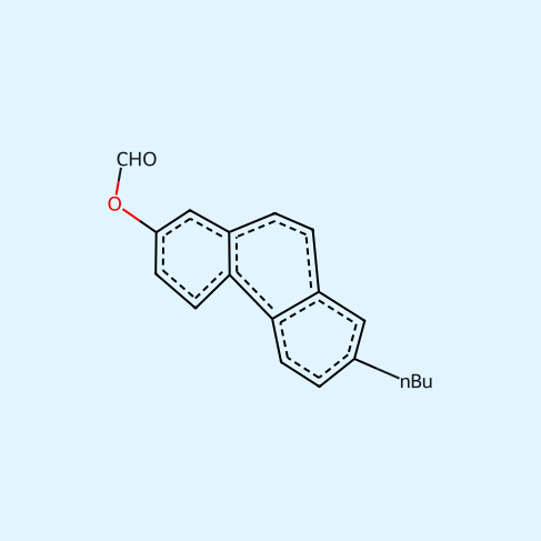 CCCCc1ccc2c(ccc3cc(OC=O)ccc32)c1